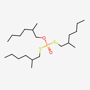 CCCCC(C)COP(=O)(SCC(C)CCCC)SCC(C)CCCC